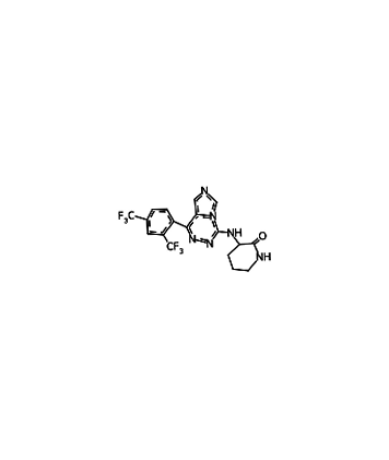 O=C1NCCCC1Nc1nnc(-c2ccc(C(F)(F)F)cc2C(F)(F)F)c2cncn12